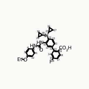 CCOc1ccc(NC(=O)Nc2cc(-c3cc(F)ccc3C(=O)O)ccc2N(C2CC2)C2CC2)cc1